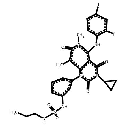 CCCNS(=O)(=O)Nc1cccc(-n2c(=O)n(C3CC3)c(=O)c3c(Nc4ccc(I)cc4F)n(C)c(=O)c(C)c32)c1